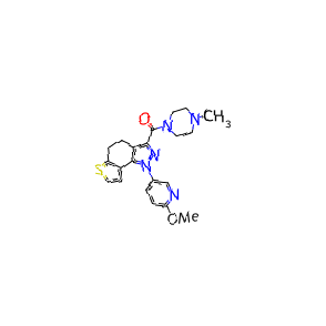 COc1ccc(-n2nc(C(=O)N3CCN(C)CC3)c3c2-c2ccsc2CC3)cn1